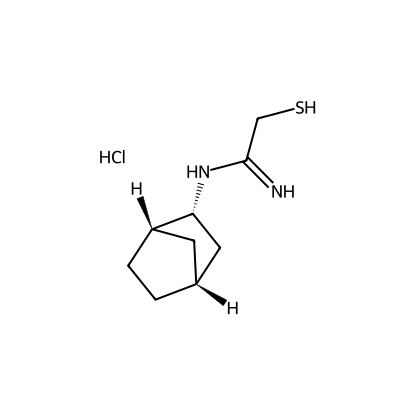 Cl.N=C(CS)N[C@@H]1C[C@@H]2CC[C@H]1C2